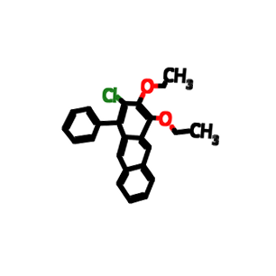 CCOc1c(Cl)c(-c2ccccc2)c2cc3ccccc3cc2c1OCC